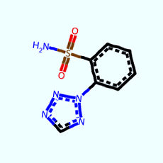 NS(=O)(=O)c1ccccc1-n1ncnn1